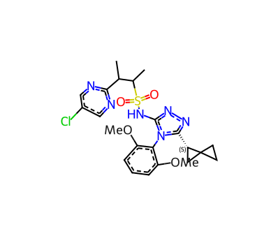 COc1cccc(OC)c1-n1c(NS(=O)(=O)C(C)C(C)c2ncc(Cl)cn2)nnc1[C@H]1CC12CC2